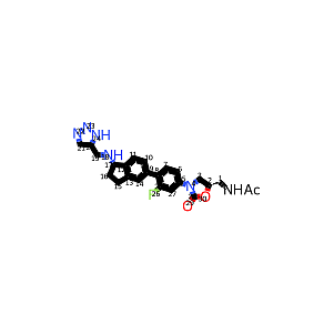 CC(=O)NC[C@H]1CN(c2ccc(-c3ccc4c(c3)CCC4NCC3CN=NN3)c(F)c2)C(=O)O1